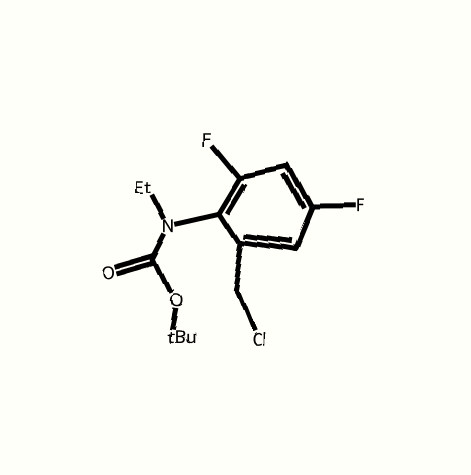 CCN(C(=O)OC(C)(C)C)c1c(F)cc(F)cc1CCl